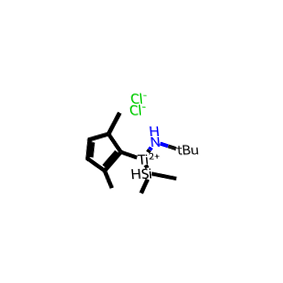 CC1=[C]([Ti+2]([NH]C(C)(C)C)[SiH](C)C)C(C)C=C1.[Cl-].[Cl-]